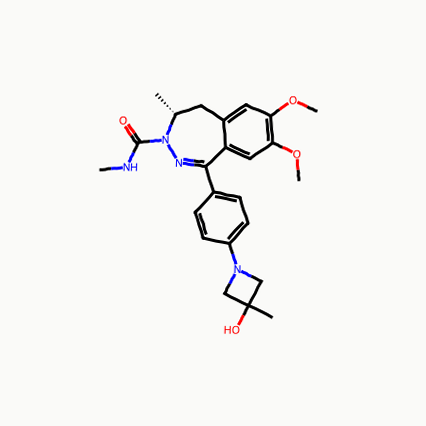 CNC(=O)N1N=C(c2ccc(N3CC(C)(O)C3)cc2)c2cc(OC)c(OC)cc2C[C@H]1C